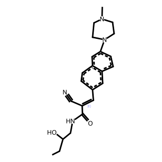 CCC(O)CNC(=O)/C(C#N)=C/c1ccc2cc(N3CCN(C)CC3)ccc2c1